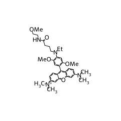 CCN(CCCC(=O)NCCOC)c1cc(OC)c(-c2c3ccc(=[N+](C)C)cc-3oc3cc(N(C)C)ccc23)cc1OC